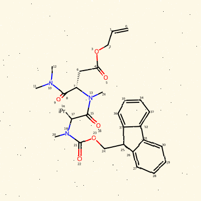 C=CCOC(=O)C[C@@H](C(=O)N(C)C)N(C)C(=O)C(C(C)C)N(C)C(=O)OCC1c2ccccc2-c2ccccc21